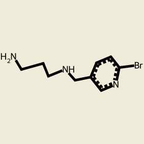 NCCCNCc1ccc(Br)nc1